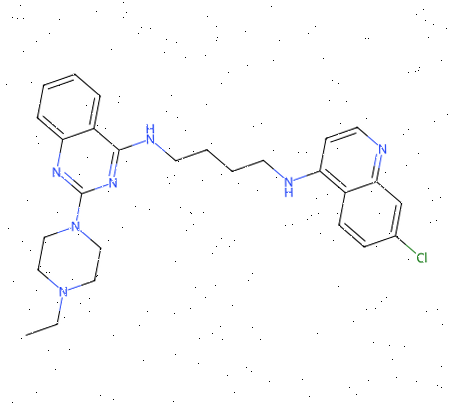 CCN1CCN(c2nc(NCCCCNc3ccnc4cc(Cl)ccc34)c3ccccc3n2)CC1